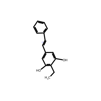 CCc1c(O)cc(/C=C/c2ccccc2)cc1O